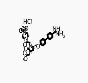 COC(=O)C[C@@H]1C[C@@H](COc2ccc(-c3ccc(C(=N)N)cc3)cc2)N(CC(=O)N2CCN(S(C)(=O)=O)CC2)C1=O.Cl